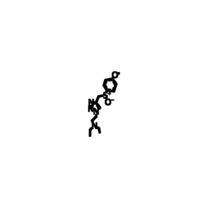 CCN(CC)CCn1cc(C[S+]([O-])c2ccc(OC)cc2)nn1